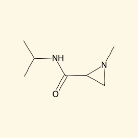 CC(C)NC(=O)C1CN1C